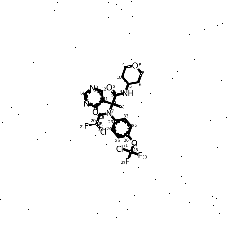 CC(C(=O)NC1CCOCC1)(c1cncnc1)N(C(=O)[C@H](F)Cl)c1ccc(OC(F)(F)Cl)cc1